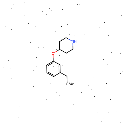 COCc1cccc(OC2CCNCC2)c1